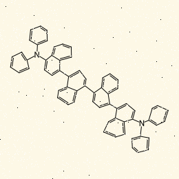 c1ccc(N(c2ccccc2)c2ccc(-c3ccc(-c4ccc(-c5ccc(N(c6ccccc6)c6ccccc6)c6ccccc56)c5ccccc45)c4ccccc34)c3ccccc23)cc1